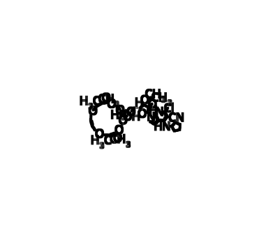 CC1(C)O[C@@H]2[C@H](O1)[C@@H](COC[PH]1(O)OCOC(=O)C(C)(C)COCC=CCOCC(C)(C)C(=O)OCO1)O[C@H]2n1ccc2c(NC3CCCC3)c(C#N)c(Cl)nc21